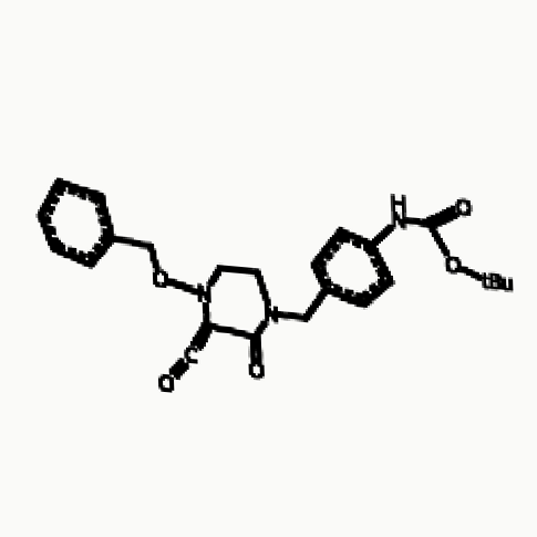 CC(C)(C)OC(=O)Nc1ccc(CN2CCN(OCc3ccccc3)C(=C=O)C2=O)cc1